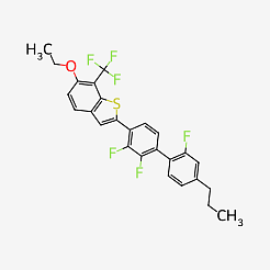 CCCc1ccc(-c2ccc(-c3cc4ccc(OCC)c(C(F)(F)F)c4s3)c(F)c2F)c(F)c1